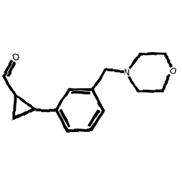 O=CC1CC1c1cccc(CN2CCOCC2)c1